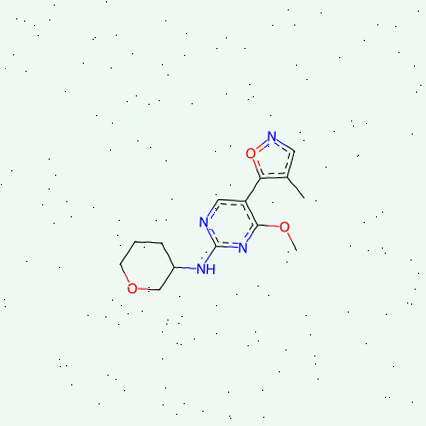 COc1nc(NC2CCCOC2)ncc1-c1oncc1C